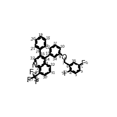 Fc1ccc(F)c(COc2cccc(-c3c(-c4ccccc4)cnc4c(C(F)(F)F)cccc34)c2)c1